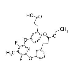 CCOC(=O)CCc1cccc(Oc2nc(Oc3cccc(CCC(=O)O)c3)c(F)c(C)c2F)c1